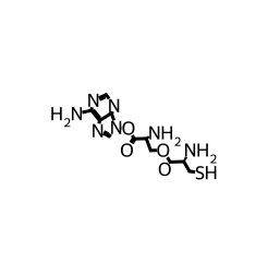 Nc1ncnc2c1ncn2OC(=O)[C@@H](N)COC(=O)[C@@H](N)CS